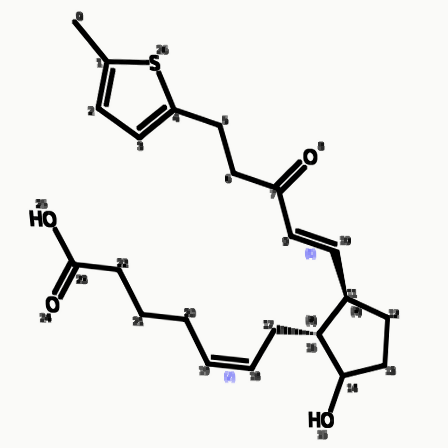 Cc1ccc(CCC(=O)/C=C/[C@H]2CCC(O)[C@@H]2C/C=C\CCCC(=O)O)s1